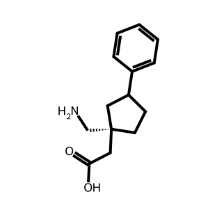 NC[C@@]1(CC(=O)O)CCC(c2ccccc2)C1